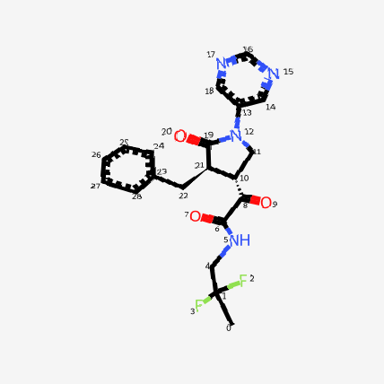 CC(F)(F)CNC(=O)C(=O)[C@H]1CN(c2cncnc2)C(=O)[C@@H]1Cc1ccccc1